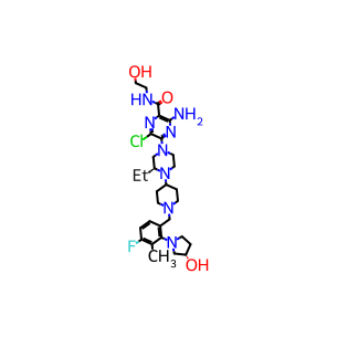 CC[C@H]1CN(c2nc(N)c(C(=O)NCCO)nc2Cl)CCN1C1CCN(Cc2ccc(F)c(C)c2N2CC[C@H](O)C2)CC1